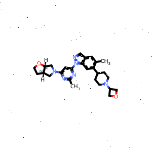 Cc1nc(N2C[C@@H]3CCO[C@@H]3C2)cc(-n2ncc3cc(C)c(C4CCN(C5COC5)CC4)cc32)n1